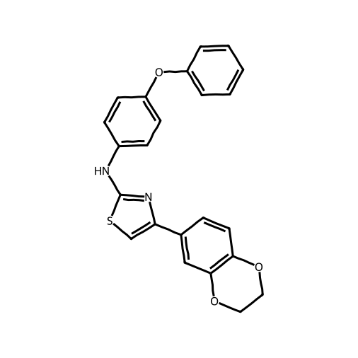 c1ccc(Oc2ccc(Nc3nc(-c4ccc5c(c4)OCCO5)cs3)cc2)cc1